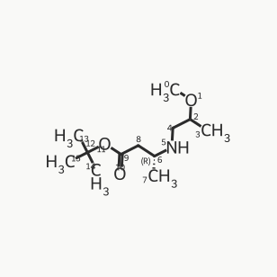 COC(C)CN[C@H](C)CC(=O)OC(C)(C)C